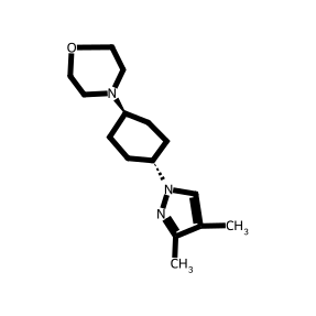 Cc1cn([C@H]2CC[C@H](N3CCOCC3)CC2)nc1C